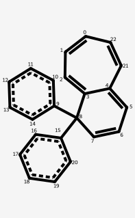 C1=CC=C2C(=CC=CC2(c2ccccc2)c2ccccc2)C=C1